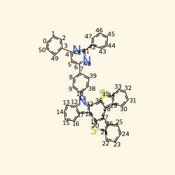 c1ccc(-c2cc(-c3ccc(-n4c5ccccc5c5c6sc7ccccc7c6c6c7ccccc7sc6c54)cc3)nc(-c3ccccc3)n2)cc1